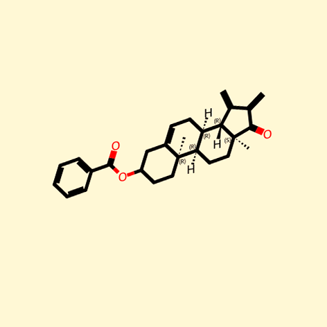 C=C1C(=C)[C@H]2[C@@H]3CC=C4CC(OC(=O)c5ccccc5)CC[C@]4(C)[C@@H]3CC[C@]2(C)C1=O